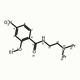 CCOc1cc([N+](=O)[O-])ccc1C(=O)NCCN(C(C)C)C(C)C